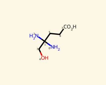 NC(N)(CO)CCC(=O)O